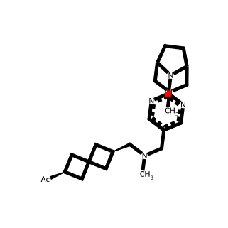 CC(=O)[C@H]1CC2(C[C@H](CN(C)Cc3cnc(N4C5CCC4CN(C)C5)nc3)C2)C1